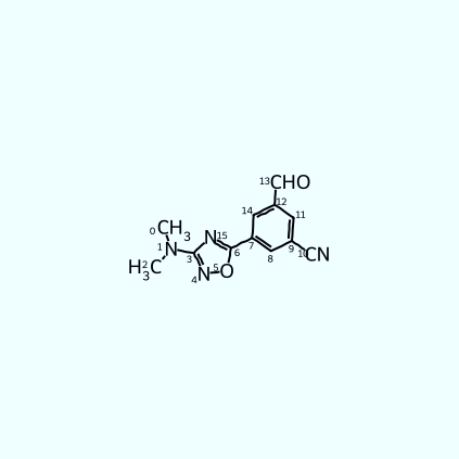 CN(C)c1noc(-c2cc(C#N)cc(C=O)c2)n1